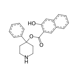 O=C(OC1(c2ccccc2)CCNCC1)c1cc2ccccc2cc1O